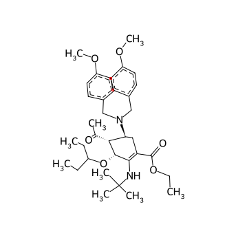 CCOC(=O)C1=C(NC(C)(C)C)[C@H](OC(CC)CC)[C@H](C(C)=O)[C@@H](N(Cc2ccc(OC)cc2)Cc2ccc(OC)cc2)C1